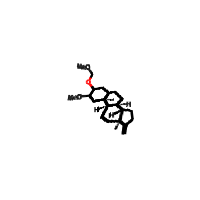 C=C1CC[C@H]2[C@@H]3CCC4CC(OCOC)C(OC)C[C@]4(C)[C@@H]3CC[C@]12C